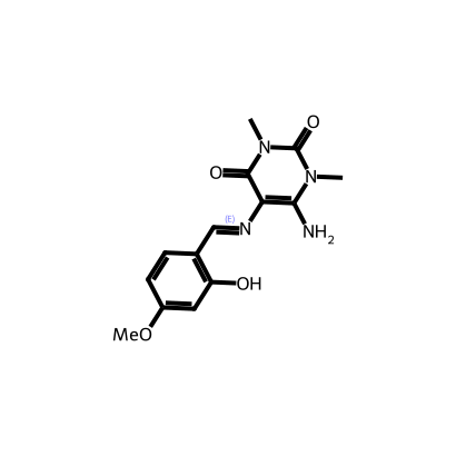 COc1ccc(/C=N/c2c(N)n(C)c(=O)n(C)c2=O)c(O)c1